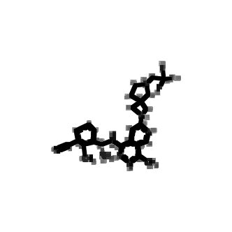 Cc1c(C#N)cccc1[C@@H](N)Nc1nnc(C)c2cnc(N3CC4(CCN(CC(F)(F)F)C4)C3)cc12